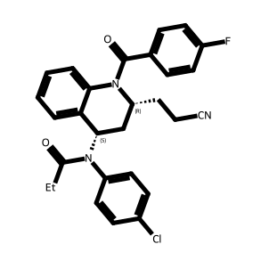 CCC(=O)N(c1ccc(Cl)cc1)[C@H]1C[C@@H](CCC#N)N(C(=O)c2ccc(F)cc2)c2ccccc21